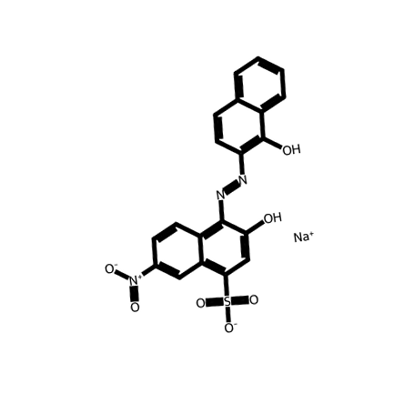 O=[N+]([O-])c1ccc2c(/N=N/c3ccc4ccccc4c3O)c(O)cc(S(=O)(=O)[O-])c2c1.[Na+]